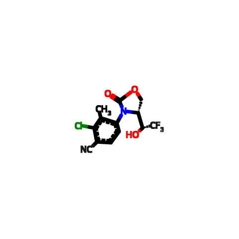 Cc1c(N2C(=O)OC[C@@H]2[C@@H](O)C(F)(F)F)ccc(C#N)c1Cl